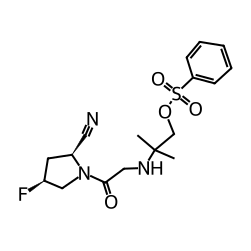 CC(C)(COS(=O)(=O)c1ccccc1)NCC(=O)N1C[C@@H](F)C[C@H]1C#N